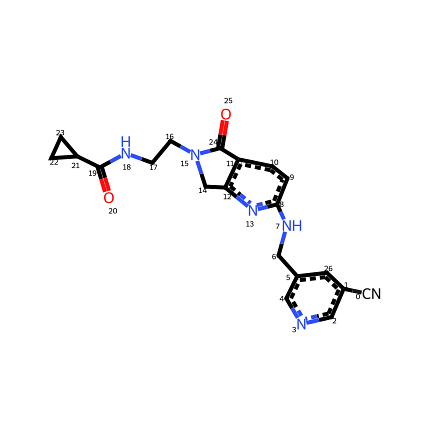 N#Cc1cncc(CNc2ccc3c(n2)CN(CCNC(=O)C2CC2)C3=O)c1